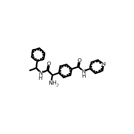 CC(NC(=O)C(N)c1ccc(C(=O)Nc2ccncc2)cc1)c1ccccc1